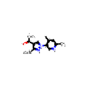 CNc1nn(-c2cnc(C(F)(F)F)cc2C)cc1C(=O)OC